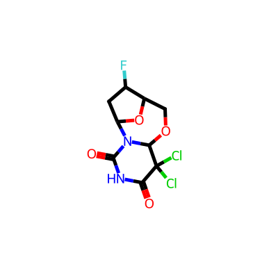 O=C1NC(=O)C(Cl)(Cl)C2OCC3OC(CC3F)N12